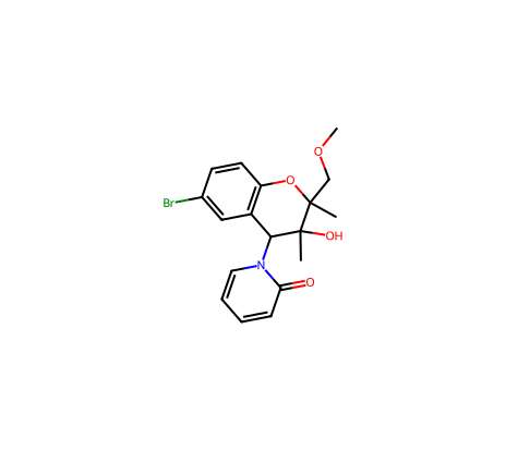 COCC1(C)Oc2ccc(Br)cc2C(n2ccccc2=O)C1(C)O